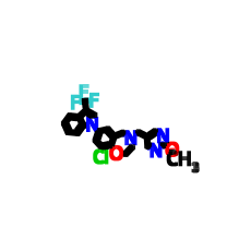 COc1ncc(CN2CCOc3c(Cl)cc(-n4cc(C(F)(F)F)c5ccccc54)cc3C2)cn1